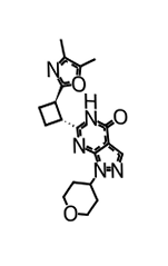 Cc1nc([C@@H]2CC[C@H]2c2nc3c(cnn3C3CCOCC3)c(=O)[nH]2)oc1C